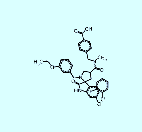 CCOc1cccc(CN2CC(C(=O)N(C)Cc3ccc(C(=O)O)cc3)[C@H](c3cccc(Cl)c3F)[C@]23C(=O)Nc2cc(Cl)ccc23)c1